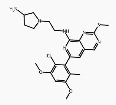 COc1cc(OC)c(Cl)c(-c2cc3cnc(SC)nc3c(NCCN3CCC(N)C3)n2)c1C